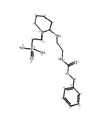 O=C(NCCNC1CCCCN1CCP(=O)(O)O)OCc1ccccc1